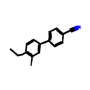 CCc1ccc(-c2ccc(C#N)cc2)cc1C